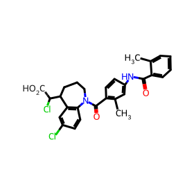 Cc1ccccc1C(=O)Nc1ccc(C(=O)N2CCCC(C(Cl)C(=O)O)c3cc(Cl)ccc32)c(C)c1